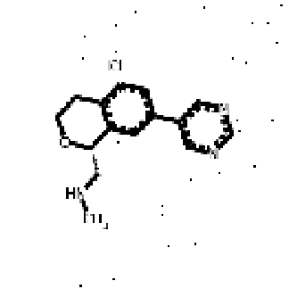 CNC[C@@H]1OCCc2ccc(-c3cncnc3)cc21.Cl